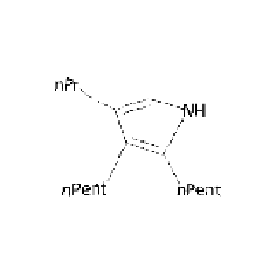 CCCCCc1[nH]cc(CCC)c1CCCCC